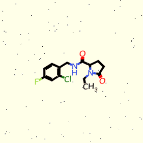 CCN1C(=O)CCC1C(=O)NCc1ccc(F)cc1Cl